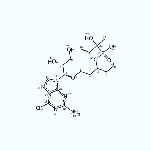 CCC(CCO[C@H]([C@H](O)CO)n1cnc2c(Cl)nc(N)nc21)OP(=O)(O)C(C)(O)CC